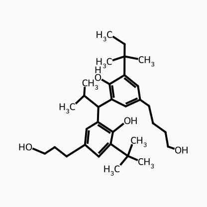 CCC(C)(C)c1cc(CCCCO)cc(C(c2cc(CCCO)cc(C(C)(C)C)c2O)C(C)C)c1O